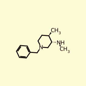 CN[C@@H]1CN(Cc2ccccc2)CC[C@H]1C